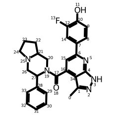 Cc1n[nH]c2nc(-c3ccc(O)c(F)c3)cc(C(=O)N3CC4CCCN4CC3c3ccccc3)c12